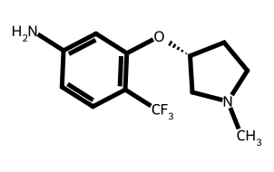 CN1CC[C@@H](Oc2cc(N)ccc2C(F)(F)F)C1